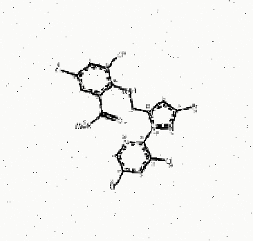 CNC(=O)c1cc(Cl)cc(Cl)c1NCc1cc(Br)nn1-c1ncc(Cl)cc1Cl